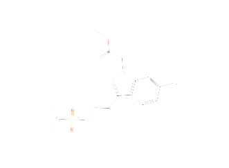 COC(=O)Cn1cc(CCNS(=O)(=O)N(C)C)c2ccc(Br)cc21